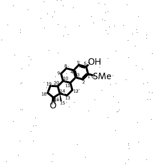 CSc1cc2c(cc1O)CCC1C2CC[C@]2(C)C(=O)CCC12